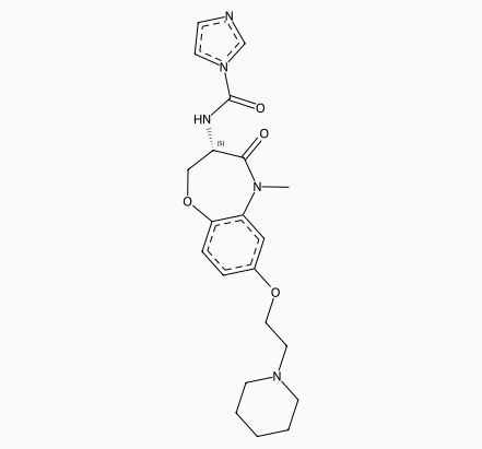 CN1C(=O)[C@@H](NC(=O)n2ccnc2)COc2ccc(OCCN3CCCCC3)cc21